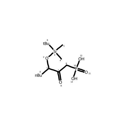 CCCCC(O[Si](C)(C)C(C)(C)C)C(=O)CP(=O)(O)O